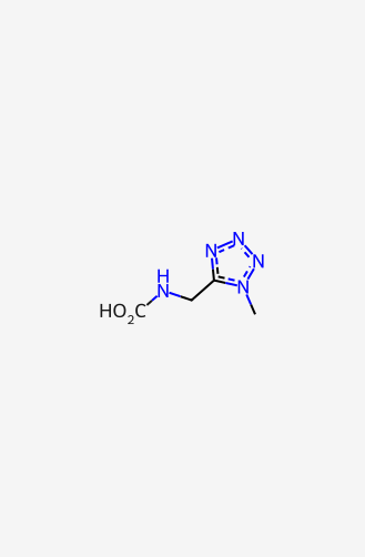 Cn1nnnc1CNC(=O)O